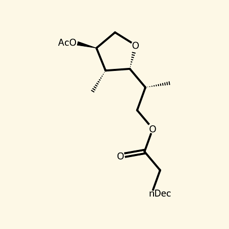 CCCCCCCCCCCC(=O)OC[C@@H](C)[C@H]1OC[C@H](OC(C)=O)[C@H]1C